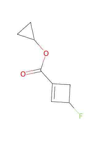 O=C(OC1CC1)C1=CC(F)C1